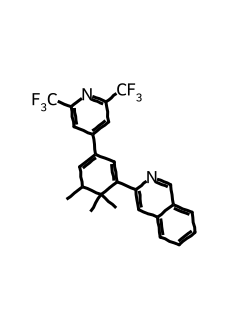 CC1C=C(c2cc(C(F)(F)F)nc(C(F)(F)F)c2)C=C(c2cc3ccccc3cn2)C1(C)C